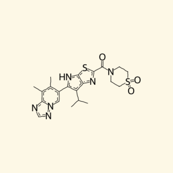 Cc1c(-c2[nH]c3sc(C(=O)N4CCS(=O)(=O)CC4)nc3c2C(C)C)cn2ncnc2c1C